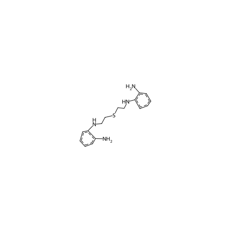 Nc1ccccc1NCCSCCNc1ccccc1N